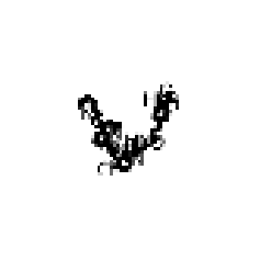 Cc1cc(OCc2ccccn2)c2cccc(OCc3c(Cl)ccc(N(C)C(=O)CNC(=O)CCc4ccc(NS(C)(=O)=O)cc4)c3Cl)c2n1